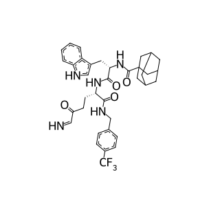 N=CC(=O)CC[C@H](NC(=O)[C@H](Cc1c[nH]c2ccccc12)NC(=O)C12CC3CC(CC(C3)C1)C2)C(=O)NCc1ccc(C(F)(F)F)cc1